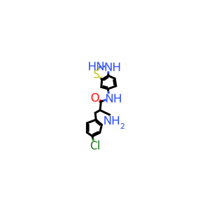 NCC(Cc1ccc(Cl)cc1)C(=O)Nc1ccc2c(c1)SNN2